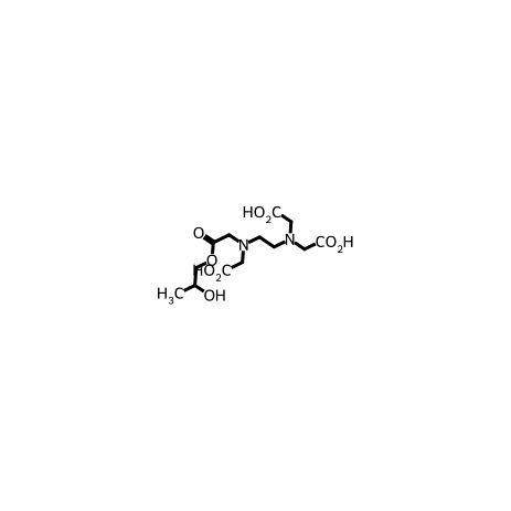 CC(O)COC(=O)CN(CCN(CC(=O)O)CC(=O)O)CC(=O)O